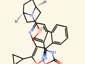 O=c1[nH]c(-c2ccc(N3[C@@H]4CC[C@H]3C[C@@H](OCc3c(-c5ccccc5Cl)noc3C3CC3)C4)nc2)no1